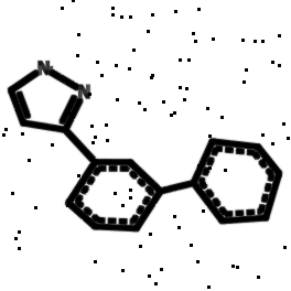 C1=CC(c2cccc(-c3ccccc3)c2)=N[N]1